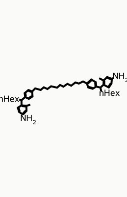 CCCCCCC(c1ccc(CCCCCCCCCCCCCc2ccc(C(CCCCCC)c3ccc(N)cc3C)cc2)cc1)c1ccc(N)cc1C